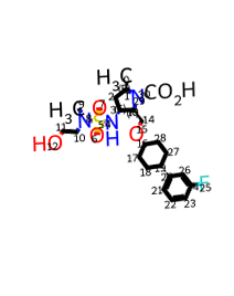 C[C@@H]1C[C@H](NS(=O)(=O)N(C)CCO)[C@H](CO[C@H]2CC[C@@H](c3cccc(F)c3)CC2)N1C(=O)O